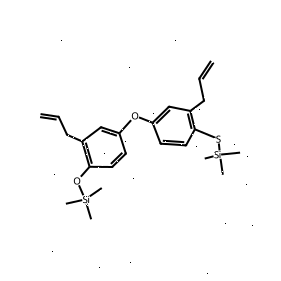 C=CCc1cc(Oc2ccc(S[Si](C)(C)C)c(CC=C)c2)ccc1O[Si](C)(C)C